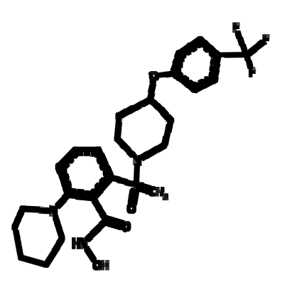 C=S(=O)(c1cccc(N2CCCCC2)c1C(=O)NO)N1CCC(Oc2ccc(C(F)(F)F)cc2)CC1